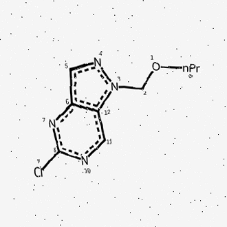 CCCOCn1ncc2nc(Cl)ncc21